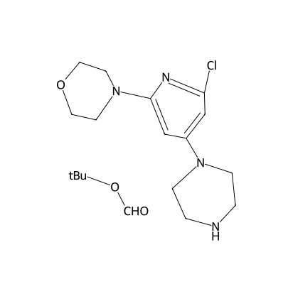 CC(C)(C)OC=O.Clc1cc(N2CCNCC2)cc(N2CCOCC2)n1